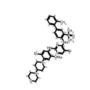 CCc1cc(Nc2ncc(Br)c(Nc3ccc(-c4ccccc4C)cc3P(C)(C)=O)n2)c(OC)cc1N1CCC(N2CCOCC2)CC1